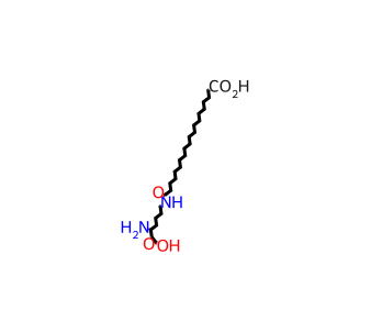 N[C@@H](CCCCNC(=O)CCCCCCCCCCCCCCCCCCC(=O)O)C1OC1O